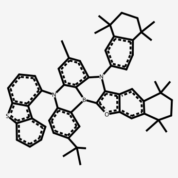 Cc1cc2c3c(c1)N(c1cccc4sc5ccccc5c14)c1ccc(C(C)(C)C)cc1B3c1oc3cc4c(cc3c1N2c1ccc2c(c1)C(C)(C)CCC2(C)C)C(C)(C)CCC4(C)C